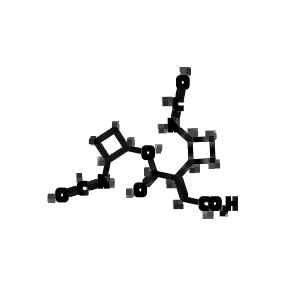 O=C=NC1CCC1OC(=O)C(=CC(=O)O)C1CCC1N=C=O